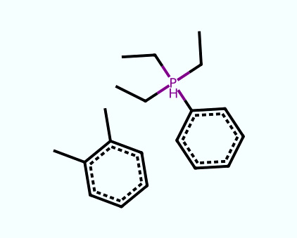 CC[PH](CC)(CC)c1ccccc1.Cc1ccccc1C